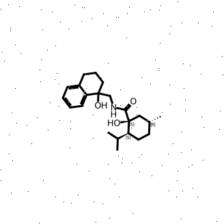 CC(C)[C@@H]1CC[C@@H](C)C[C@@]1(O)C(=O)NCC1(O)CCCc2ccccc21